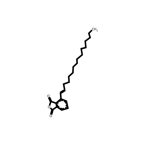 CCCCCCCCCCCCCCC=Cc1cccc2c1C(=O)OC2=O